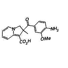 COc1cc(C(=O)C2(C)CN3C=CC=CC3=C2C(=O)O)ccc1N